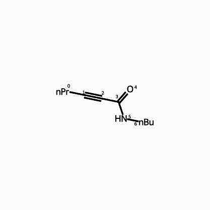 CCCC#CC(=O)NCCCC